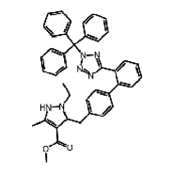 CCN1NC(C)=C(C(=O)OC)C1Cc1ccc(-c2ccccc2-c2nnn(C(c3ccccc3)(c3ccccc3)c3ccccc3)n2)cc1